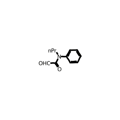 CCCN(C(=O)C=O)c1ccccc1